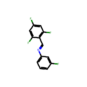 Fc1cccc(N=Cc2c(F)cc(F)cc2F)c1